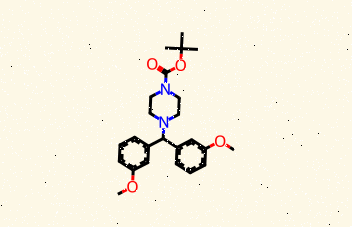 COc1cccc(C(c2cccc(OC)c2)N2CCN(C(=O)OC(C)(C)C)CC2)c1